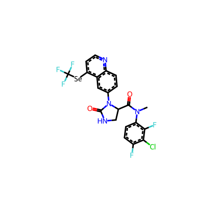 CN(C(=O)C1CNC(=O)N1c1ccc2nccc([Se]C(F)(F)F)c2c1)c1ccc(F)c(Cl)c1F